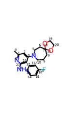 Cc1cc(N2CCC3(CC[C@@H]2c2ccccc2F)OCCO3)cc(N)n1